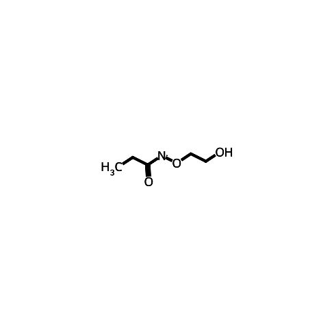 CCC(=O)[N]OCCO